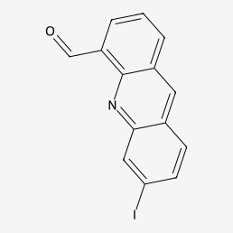 O=Cc1cccc2cc3ccc(I)cc3nc12